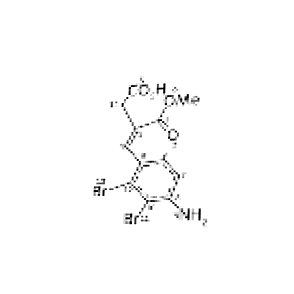 COC(=O)C(=Cc1ccc(N)c(Br)c1Br)CC(=O)O